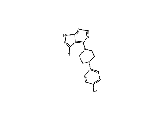 O=[N+]([O-])c1ccc(N2CCN(c3ncnc4[nH]nc(Br)c34)CC2)cc1